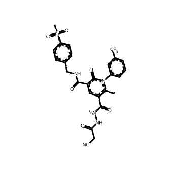 Cc1c(C(=O)NNC(=O)CC#N)cc(C(=O)NCc2ccc(S(C)(=O)=O)cc2)c(=O)n1-c1cccc(C(F)(F)F)c1